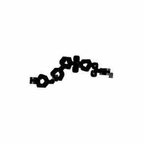 NC(=O)OC1CCN(S(=O)(=O)c2cccc(C3CCN(CC4CCNCC4)CC3)c2)CC1